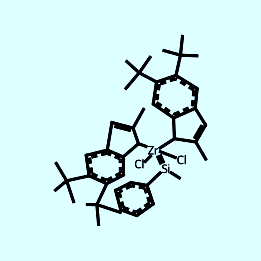 CC1=Cc2cc(C(C)(C)C)c(C(C)(C)C)cc2[CH]1[Zr]([Cl])([Cl])([CH]1C(C)=Cc2cc(C(C)(C)C)c(C(C)(C)C)cc21)=[Si](C)c1ccccc1